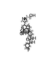 Nc1ncc(-c2cnn(CCO)c2)c2scc(-c3ccc(NC(=O)Nc4cccc(F)c4)cc3)c12.O=S(=O)(O)O